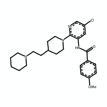 COc1ccc(C(=O)Nc2cc(Cl)cnc2N2CCC(CCN3CCCCC3)CC2)cc1